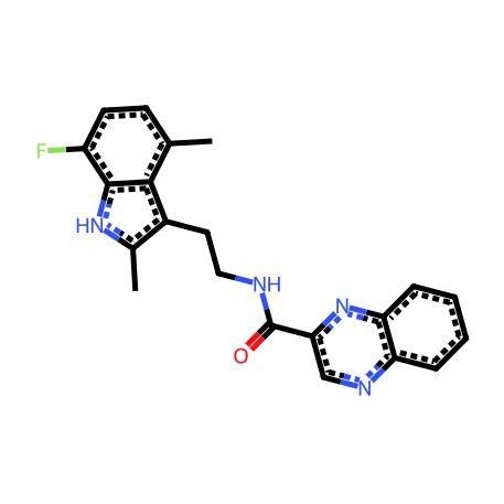 Cc1[nH]c2c(F)ccc(C)c2c1CCNC(=O)c1cnc2ccccc2n1